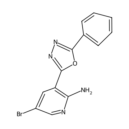 Nc1ncc(Br)cc1-c1nnc(-c2ccccc2)o1